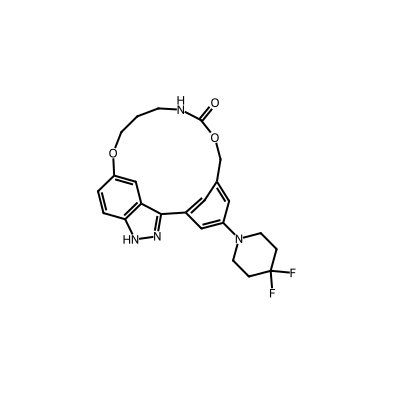 O=C1NCCCOc2ccc3[nH]nc(c3c2)-c2cc(cc(N3CCC(F)(F)CC3)c2)CO1